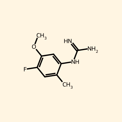 COc1cc(NC(=N)N)c(C)cc1F